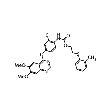 COc1cc2ncnc(Oc3ccc(NC(=O)OCCSc4ccccc4C)c(Cl)c3)c2cc1OC